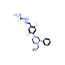 CC(C)CN1CCN(c2cc(F)c(C=NNC(N)=S)cc2F)C[C@H]1c1ccccc1